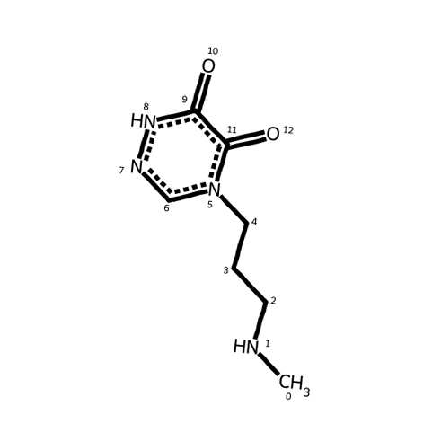 CNCCCn1[c]n[nH]c(=O)c1=O